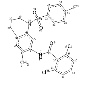 Cc1cc2c(cc1NC(=O)c1c(Cl)cccc1Cl)N(S(=O)(=O)c1ccc(F)cc1)CCC2